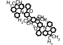 CC1(C)c2ccccc2-c2c(N(c3ccccc3)c3cc4c(c5oc6ccccc6c35)-c3cc5c(cc3[Si]4(C)C)-c3c(cc(N(c4ccccc4)c4cccc6c4-c4ccccc4C6(C)C)c4c3oc3ccccc34)[Si]5(C)C)cccc21